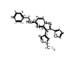 Cn1cc(-c2c(-c3ccco3)nn3ccc(NCc4ccccc4)nc23)cn1